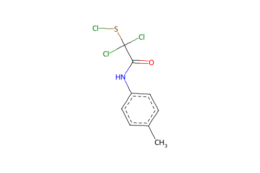 Cc1ccc(NC(=O)C(Cl)(Cl)SCl)cc1